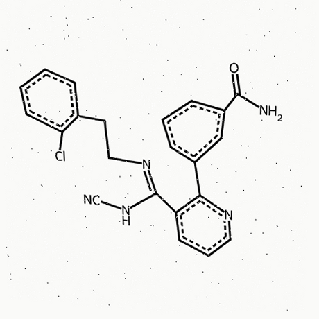 N#CNC(=NCCc1ccccc1Cl)c1cccnc1-c1cccc(C(N)=O)c1